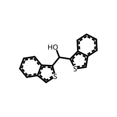 OC(c1scc2ccccc12)c1scc2ccccc12